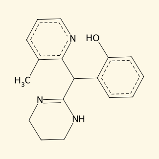 Cc1cccnc1C(C1=NCCCN1)c1ccccc1O